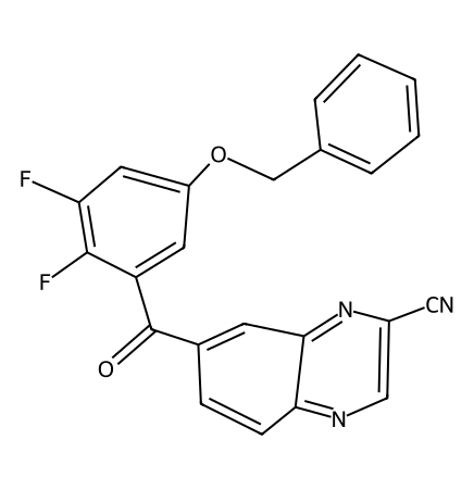 N#Cc1cnc2ccc(C(=O)c3cc(OCc4ccccc4)cc(F)c3F)cc2n1